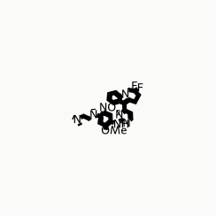 COc1cc(N(C)CCN(C)C)c([N+](=O)[O-])cc1Nc1nccc(-c2c3n(c4ccccc24)CC(F)(F)CC3)n1